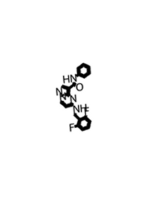 O=C(Nc1ccccc1)c1cnn2ccc(NCc3c(F)cccc3F)nc12